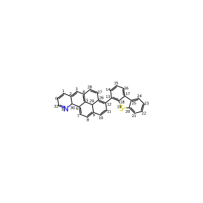 C1=CC2=CC3=C4C(=CC=C5C=CC(c6cccc7c6sc6ccccc67)=C(C=C3)C54)C2N=C1